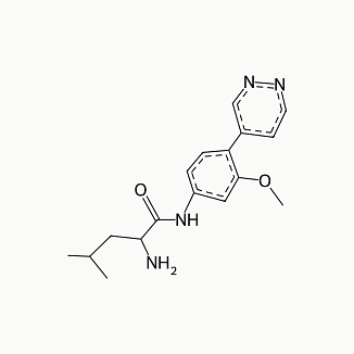 COc1cc(NC(=O)C(N)CC(C)C)ccc1-c1ccnnc1